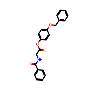 O=C(CNC(=O)c1ccccc1)Oc1ccc(OCc2ccccc2)cc1